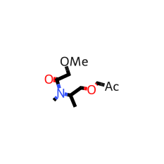 COCC(=O)N(C)C(C)COCC(C)=O